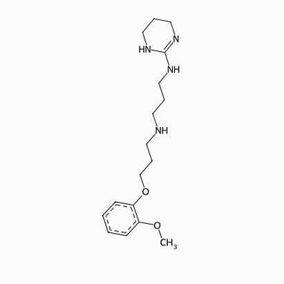 COc1ccccc1OCCCNCCCNC1=NCCCN1